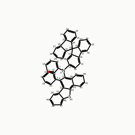 c1ccc(-c2c(N(c3ccccc3)c3ccc4c(c3)C3(c5ccccc5-c5ccccc53)c3ccccc3-4)c3ccccc3c3sc4ccccc4c23)cc1